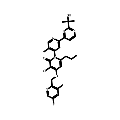 CCCc1cc(OCc2ncc(F)cc2F)c(Cl)c(=O)n1-c1cc(-c2ccnc(C(C)(C)O)n2)ncc1C